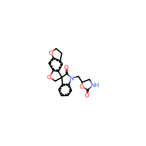 O=C1NCC(CN2C(=O)C3(COc4cc5c(cc43)CCO5)c3ccccc32)O1